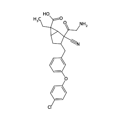 CCC1(C(=O)O)C2CC(Cc3cccc(Oc4ccc(Cl)cc4)c3)C(C#N)(C(=O)CN)C21